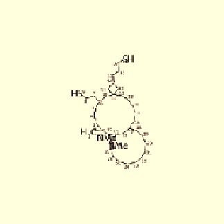 CNC1(C)CCCC(CCS)CC2(CCCCCC3CCCCCCCCCCC4(NC)C(C3)C14)CC(=CCCS)C2